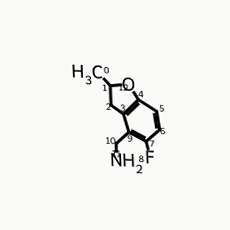 CC1Cc2c(ccc(F)c2CN)O1